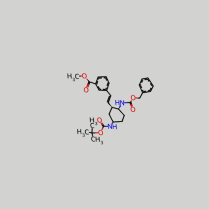 COC(=O)c1cccc(C=C[C@@H]2C[C@H](NC(=O)OC(C)(C)C)CC[C@@H]2NC(=O)OCc2ccccc2)c1